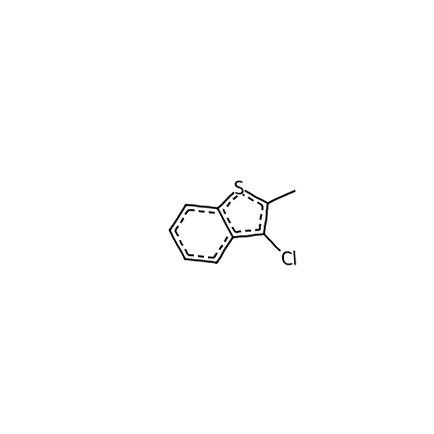 Cc1sc2ccccc2c1Cl